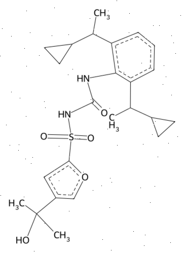 CC(c1cccc(C(C)C2CC2)c1NC(=O)NS(=O)(=O)c1cc(C(C)(C)O)co1)C1CC1